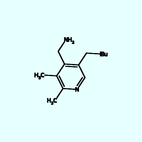 CCC(C)Cc1cnc(C)c(C)c1CN